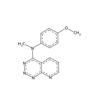 COc1ccc(N(C)c2nnnc3ncccc23)cc1